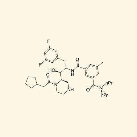 CCCN(CCC)C(=O)c1cc(C)cc(C(=O)N[C@@H](Cc2cc(F)cc(F)c2)[C@H](O)[C@H]2CNCCN2C(=O)CC2CCCC2)c1